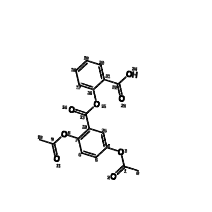 CC(=O)Oc1ccc(OC(C)=O)c(C(=O)Oc2ccccc2C(=O)O)c1